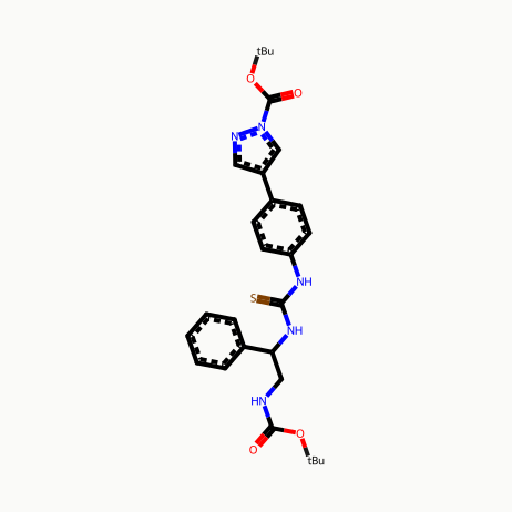 CC(C)(C)OC(=O)NCC(NC(=S)Nc1ccc(-c2cnn(C(=O)OC(C)(C)C)c2)cc1)c1ccccc1